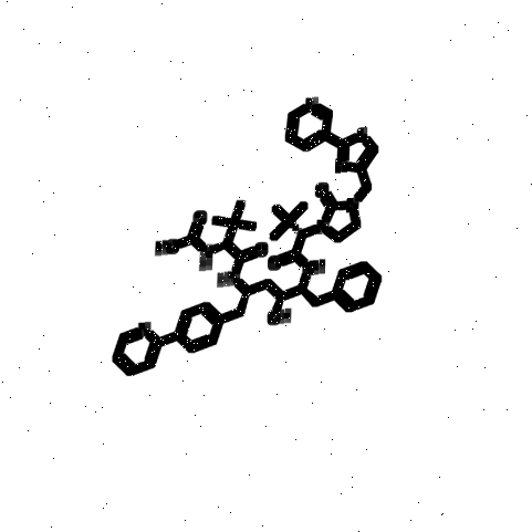 CC(C)(C)[C@H](NC(=O)O)C(=O)N[C@H](Cc1ccc(-c2ccccn2)cc1)C[C@H](O)[C@H](Cc1ccccc1)NC(=O)[C@@H](N1CCN(Cc2csc(-c3cccnc3)n2)C1=O)C(C)(C)C